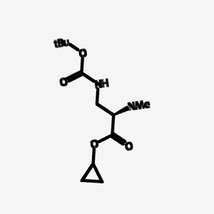 CN[C@H](CNC(=O)OC(C)(C)C)C(=O)OC1CC1